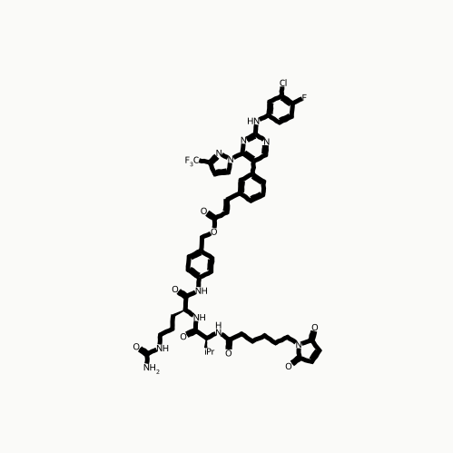 CC(C)[C@H](NC(=O)CCCCCN1C(=O)C=CC1=O)C(=O)N[C@@H](CCCNC(N)=O)C(=O)Nc1ccc(COC(=O)/C=C/c2cccc(-c3cnc(Nc4ccc(F)c(Cl)c4)nc3-n3ccc(C(F)(F)F)n3)c2)cc1